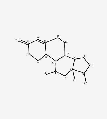 CC1CC2(C)C(C)CCC2C2CCC3=CC(=O)CCC3C12